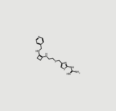 N=C(N)Nc1nc(CSCCNC2=C(NCc3ccncc3)CC2)cs1